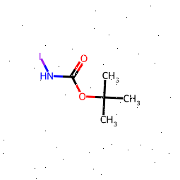 CC(C)(C)OC(=O)NI